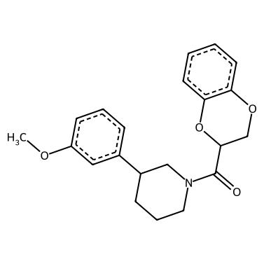 COc1cccc(C2CCCN(C(=O)C3COc4ccccc4O3)C2)c1